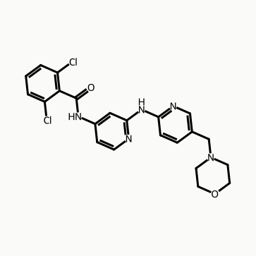 O=C(Nc1ccnc(Nc2ccc(CN3CCOCC3)cn2)c1)c1c(Cl)cccc1Cl